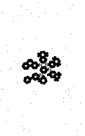 Cc1cc2c(cc1N1c3cc4c(cc3B3c5cc6c(cc5N(c5ccc7c(c#cc8ccccc87)c5)c5cc(N7c8ccc(-c9ccccc9)cc8C8(C)CCCCC78C)cc1c53)C(C)(C)CCC6(C)C)C(C)(C)CCC4(C)C)C(C)(C)CC2(C)C